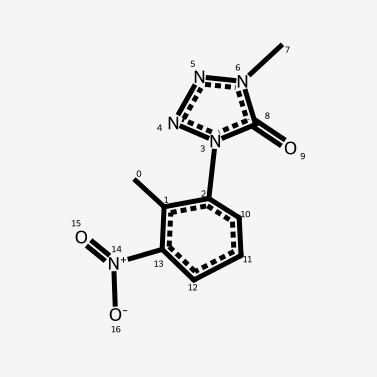 Cc1c(-n2nnn(C)c2=O)cccc1[N+](=O)[O-]